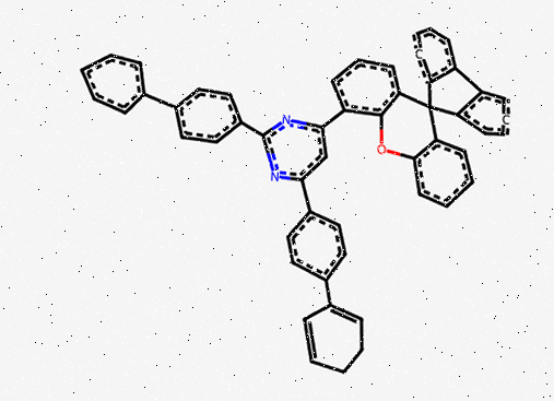 C1=CC(c2ccc(-c3cc(-c4cccc5c4Oc4ccccc4C54c5ccccc5-c5ccccc54)nc(-c4ccc(-c5ccccc5)cc4)n3)cc2)=CCC1